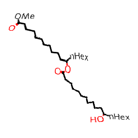 CCCCCCC(O)CCCCCCCCCCC(=O)OC(CCCCCC)CCCCCCCCCCC(=O)OC